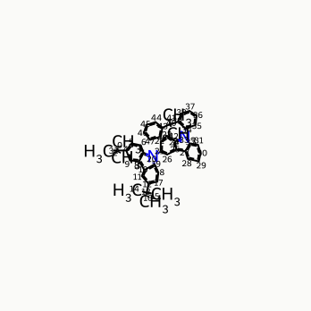 CC(C)(C)c1ccc2c(c1)c1cc(C(C)(C)C)ccc1n2-c1ccc2c(c1)c1ccccc1n2-c1ccccc1C(C)(C)c1ccccc1